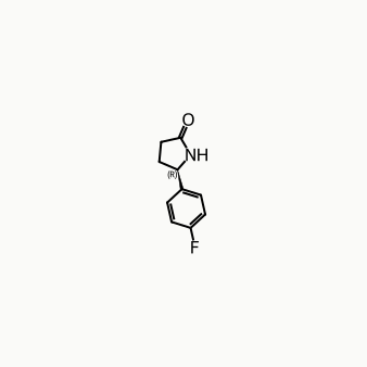 O=C1CC[C@H](c2ccc(F)cc2)N1